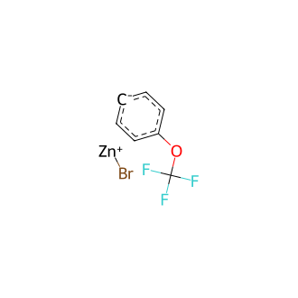 FC(F)(F)Oc1cc[c-]cc1.[Zn+][Br]